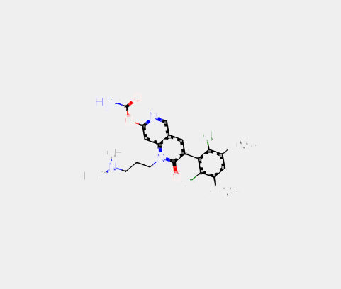 COc1cc(OC)c(Cl)c(-c2cc3cnc(OC(N)=O)cc3n(CCCN(C)C)c2=O)c1Cl